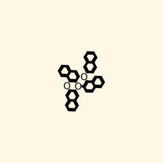 c1ccc2cc(Oc3c(Oc4ccc5ccccc5c4Oc4ccc5ccccc5c4)ccc4ccccc34)ccc2c1